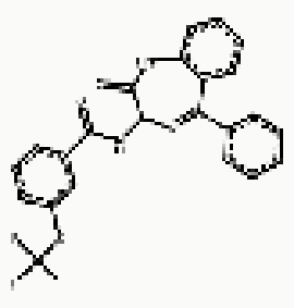 O=C(NC1N=C(c2ccccc2)c2ccccc2NC1=O)c1cccc(SC(F)(F)F)c1